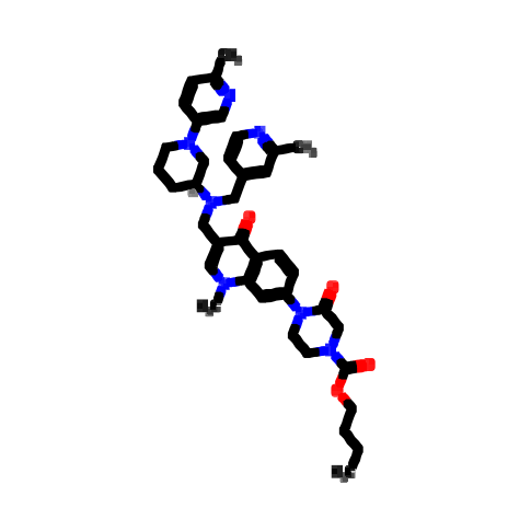 CCCCOC(=O)N1CCN(c2ccc3c(=O)c(CN(Cc4ccnc(C)c4)[C@H]4CCCN(c5ccc(C)nc5)C4)cn(C)c3c2)C(=O)C1